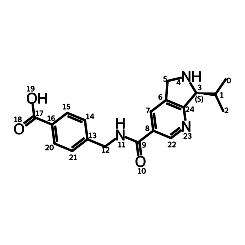 CC(C)[C@@H]1NCc2cc(C(=O)NCc3ccc(C(=O)O)cc3)cnc21